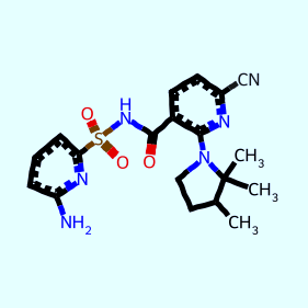 CC1CCN(c2nc(C#N)ccc2C(=O)NS(=O)(=O)c2cccc(N)n2)C1(C)C